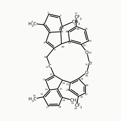 Cc1ccc(C)c2c1C=C1CCC3=Cc4c(C)ccc(C)c4C3c3cc(C(F)(F)F)ccc3[O][Zr][O]c3ccc(C(F)(F)F)cc3C12